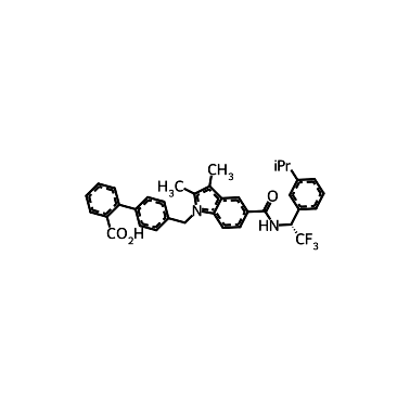 Cc1c(C)n(Cc2ccc(-c3ccccc3C(=O)O)cc2)c2ccc(C(=O)N[C@H](c3cccc(C(C)C)c3)C(F)(F)F)cc12